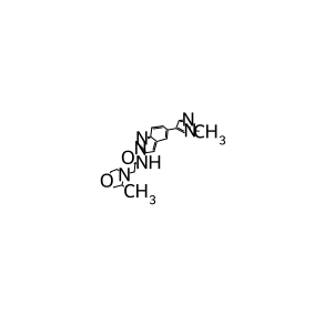 CC1COCCN1CC(=O)Nc1cc2cc(-c3cnn(C)c3)ccc2nn1